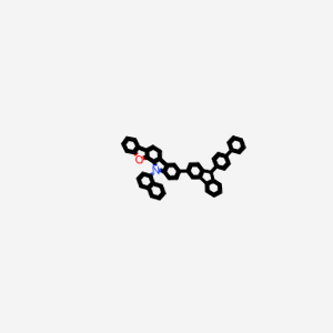 c1ccc(-c2ccc(C3c4ccccc4-c4cc(-c5ccc6c(c5)c5ccc7c8ccccc8oc7c5n6-c5cccc6ccccc56)ccc43)cc2)cc1